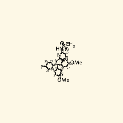 COc1ccc(C(Cc2cccc(NS(C)(=O)=O)n2)(c2ccc(F)cc2)c2ccc(OC)nc2)cn1